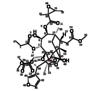 CCC(=O)O[C@@H]1[C@@H](O)[C@@H](OC(=O)C2(C)OC2C)[C@]2(C)CC3OC4(C)O[C@@]15[C@H](CC(=O)OC)[C@](C)([C@@H](OC(C)=O)c1ccoc1)C[C@@H](O)[C@]5(O4)[C@]3(C)[C@H]2CC(=O)OC